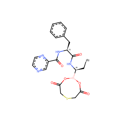 CC(C)C[C@H](NC(=O)[C@H](Cc1ccccc1)NC(=O)c1cnccn1)B1OC(=O)CSCC(=O)O1